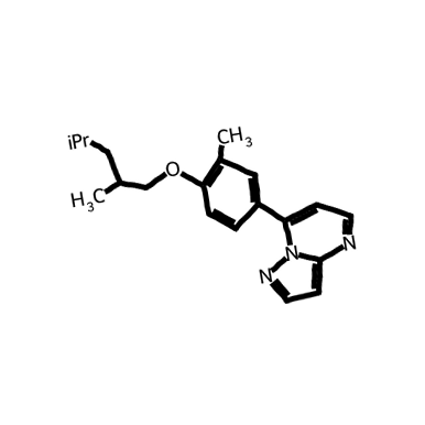 Cc1cc(-c2ccnc3ccnn23)ccc1OCC(C)CC(C)C